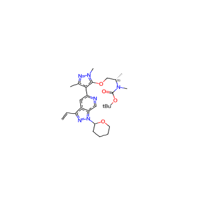 C=Cc1nn(C2CCCCO2)c2cnc(-c3c(C)nn(C)c3OC[C@H](C)N(C)C(=O)OC(C)(C)C)cc12